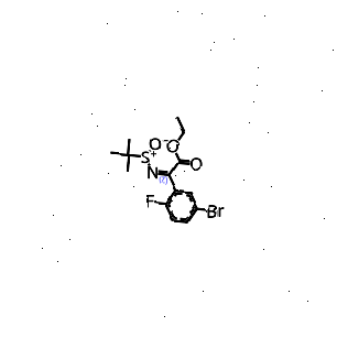 CCOC(=O)/C(=N\[S+]([O-])C(C)(C)C)c1cc(Br)ccc1F